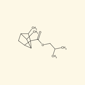 CC(C)COC(=O)C12C(C)C3CC1C2C3C